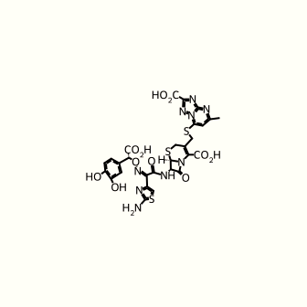 Cc1cc(SCC2=C(C(=O)O)N3C(=O)[C@@H](NC(=O)/C(=N\O[C@@H](C(=O)O)c4ccc(O)c(O)c4)c4csc(N)n4)[C@H]3SC2)n2nc(C(=O)O)nc2n1